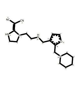 N#CC(C#N)=C1NCCN1CCNCc1ccoc1CN1CCCCC1